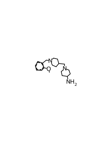 COc1ccccc1CN1CCC(CN2CCC(N)CC2)CC1